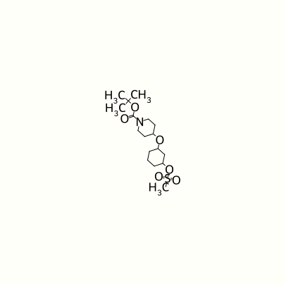 CC(C)(C)OC(=O)N1CCC(OC2CCCC(OS(C)(=O)=O)C2)CC1